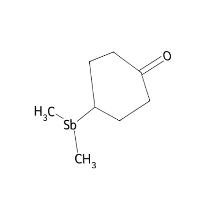 [CH3][Sb]([CH3])[CH]1CCC(=O)CC1